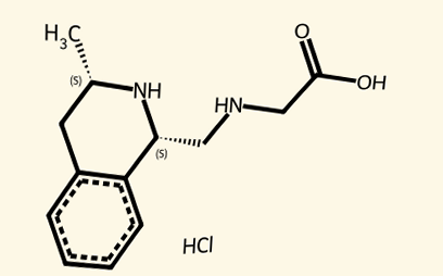 C[C@H]1Cc2ccccc2[C@@H](CNCC(=O)O)N1.Cl